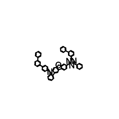 c1ccc(-c2cccc(-c3ccc(-n4c5ccccc5c5cc6c(cc54)oc4cc(-c5nc(-c7ccccc7)nc(-c7cccc(-c8ccccc8)c7)n5)ccc46)cc3)c2)cc1